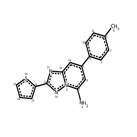 Cc1ccc(-c2cc(N)n3nc(-c4cccs4)nc3c2)cc1